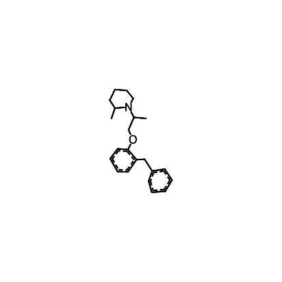 CC1CCCCN1C(C)COc1ccccc1Cc1ccccc1